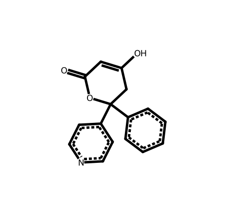 O=C1C=C(O)CC(c2ccccc2)(c2ccncc2)O1